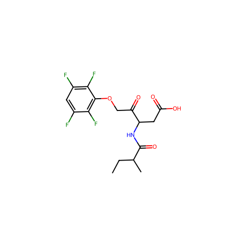 CCC(C)C(=O)NC(CC(=O)O)C(=O)COc1c(F)c(F)cc(F)c1F